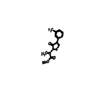 COC(=O)N(C)C1SCN(c2cccc(C(F)(F)F)c2)C1=O